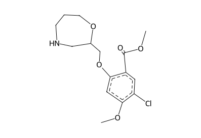 COC(=O)c1cc(Cl)c(OC)cc1OCC1CNCCCO1